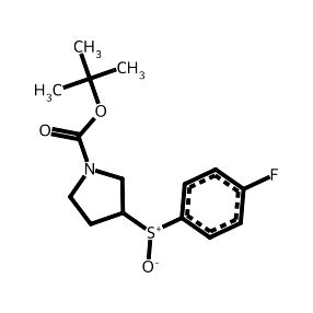 CC(C)(C)OC(=O)N1CCC([S+]([O-])c2ccc(F)cc2)C1